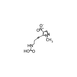 Cn1ncc([N+](=O)[O-])c1C#CCCNC(=O)O